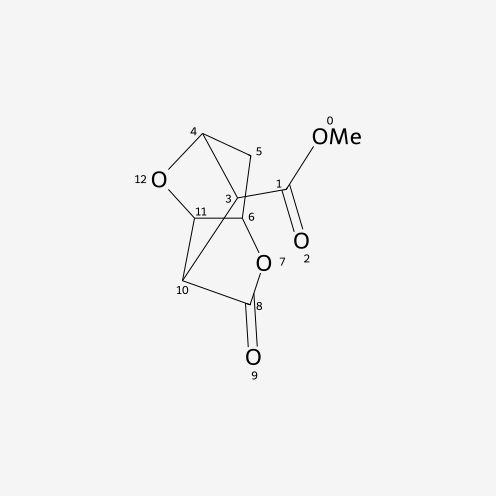 COC(=O)C1C2CC3OC(=O)C1C3O2